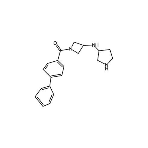 O=C(c1ccc(-c2ccccc2)cc1)N1CC(NC2CCNC2)C1